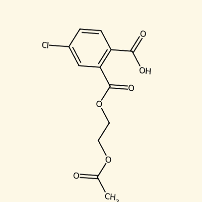 CC(=O)OCCOC(=O)c1cc(Cl)ccc1C(=O)O